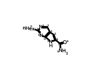 CCCCCCc1ncc2cc(C(N)=O)[nH]c2n1